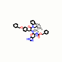 CCCN(C(=O)C(Cc1ccc(OCc2ccccc2)cc1)N(C)C(=O)C(Cc1c[nH]cn1)NC(=O)OCc1ccccc1)c1ccccc1C